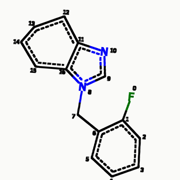 Fc1ccccc1Cn1cnc2ccccc21